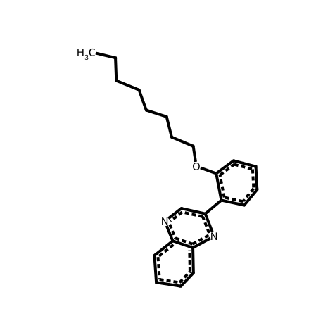 CCCCCCCCOc1ccccc1-c1cnc2ccccc2n1